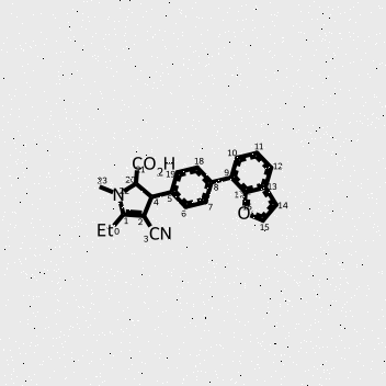 CCC1=C(C#N)C(c2ccc(-c3cccc4ccoc34)cc2)C(C(=O)O)N1C